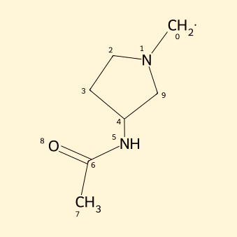 [CH2]N1CCC(NC(C)=O)C1